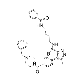 Cc1nnc2c(NCCCCNC(=O)c3ccccc3)nc3cc(C(=O)N4CCN(Cc5ccccc5)CC4)ccc3n12